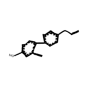 C=CCc1ccc(-c2ccc(O)cc2C)cc1